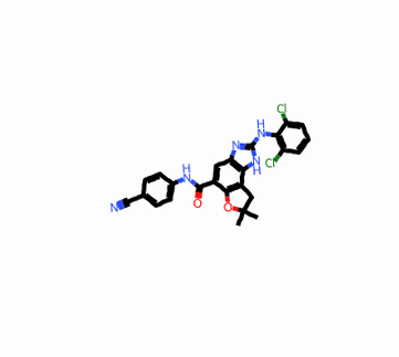 CC1(C)Cc2c(c(C(=O)Nc3ccc(C#N)cc3)cc3nc(Nc4c(Cl)cccc4Cl)[nH]c23)O1